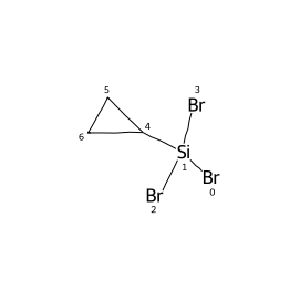 Br[Si](Br)(Br)C1CC1